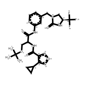 CC(C)(C)OCC(NC(=O)c1nonc1C1CC1)C(=O)Nc1cc(CN2C[C@@H](C(F)(F)F)NC2=O)ccn1